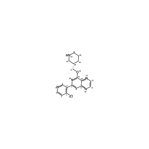 Clc1ccncc1-c1cc2nccnc2c(OC[C@H]2CCCNC2)n1